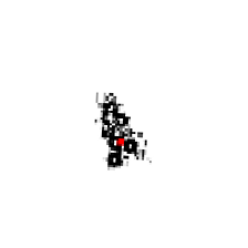 CC(CO)N1C[C@@H](C)[C@@H](CN(C)Cc2ccc(Oc3ccccc3F)cc2)Oc2c(NC(=O)Cc3ccc(C(F)(F)F)cc3C(F)(F)F)cccc2C1=O